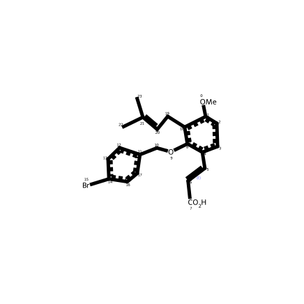 COc1ccc(/C=C/C(=O)O)c(OCc2ccc(Br)cc2)c1CC=C(C)C